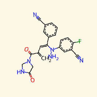 C=C(/C=C(/c1cccc(C#N)c1)N(N)c1ccc(F)c(C#N)c1)C(=O)N1CNC(=O)C1